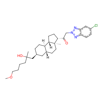 COCCCCC(C)(O)C[C@H]1CC[C@@H]2[C@H](CC[C@]3(C)[C@@H](C(=O)Cn4nc5ccc(Cl)cc5n4)CC[C@@H]23)C1